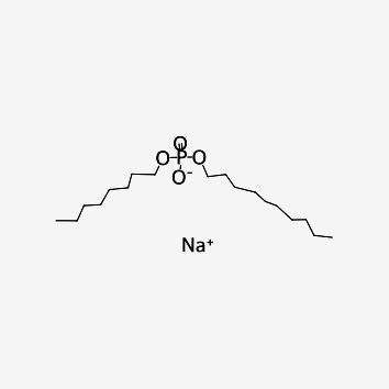 CCCCCCCCCCOP(=O)([O-])OCCCCCCCC.[Na+]